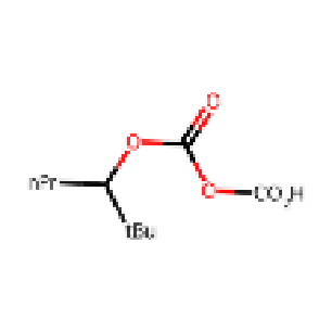 CCCC(OC(=O)OC(=O)O)C(C)(C)C